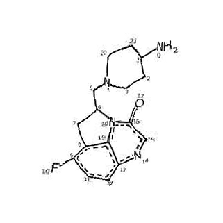 NC1CCN(CC2Cc3c(F)ccc4ncc(=O)n2c34)CC1